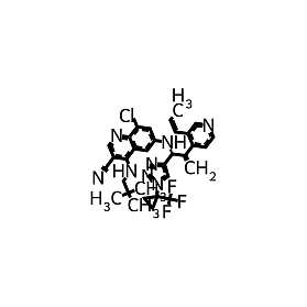 C=C(c1ccncc1/C=C\C)[C@H](Nc1cc(Cl)c2ncc(C#N)c(NCC(C)(C)C)c2c1)c1cn(C2(C(F)(F)F)CC2)nn1